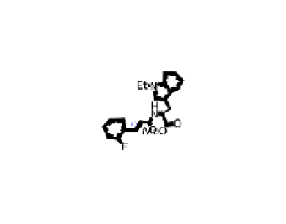 CCn1cc(C[C@H](NC(=O)/C=C/c2ccccc2F)C(=O)OC)c2ccccc21